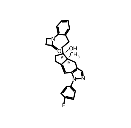 C[C@]12Cc3cnn(-c4ccc(F)cc4)c3C=C1CC[C@@]2(O)CCc1ccccc1N1CCC1=O